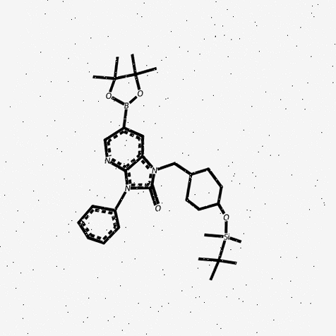 CC1(C)OB(c2cnc3c(c2)n(CC2CCC(O[Si](C)(C)C(C)(C)C)CC2)c(=O)n3-c2ccccc2)OC1(C)C